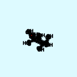 CC1(CCCCS(=O)(=O)O)C(/C=C/C=C/C=C/C=C2/N(CCCCS(=O)(=O)O)c3cc(S(=O)(=O)O)c(OCCCCS(=O)(=O)O)cc3C2(C)CCCCS(=O)(=O)O)=[N+](CCCCS(=O)(=O)O)c2cc(S(=O)(=O)O)c(OCCCCS(=O)(=O)O)cc21